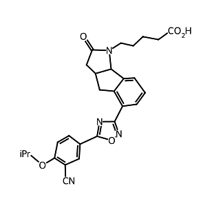 CC(C)Oc1ccc(-c2nc(-c3cccc4c3CC3CC(=O)N(CCCCC(=O)O)C43)no2)cc1C#N